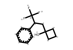 OC1(CC(c2ccccc2)C(F)(F)F)CCC1